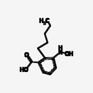 CCCCCc1c(NO)cccc1C(=O)O